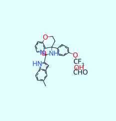 Cc1ccc2[nH]c(C(=O)NC3(c4ccc(OC(F)(F)F)cc4)CCOc4cccnc43)cc2c1.O=CO